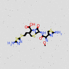 CO/N=C(\C(=O)NC1C(=O)N2C(C(=O)O)=C(/C=C/Sc3nnc(N)s3)CSC12)c1csc(N)n1